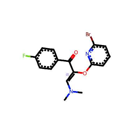 CN(C)/C=C(\Oc1cccc(Br)n1)C(=O)c1ccc(F)cc1